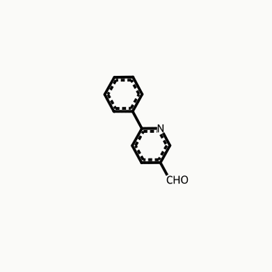 O=Cc1ccc(-c2ccccc2)nc1